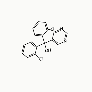 OC(c1cncnc1)(c1ccccc1Cl)c1ccccc1Cl